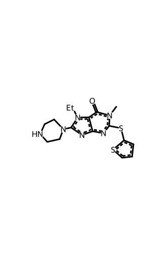 CCn1c(N2CCNCC2)nc2nc(Sc3cccs3)n(C)c(=O)c21